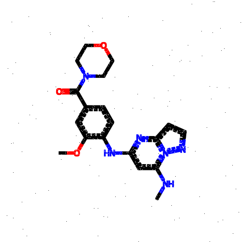 CNc1cc(Nc2ccc(C(=O)N3CCOCC3)cc2OC)nc2ccnn12